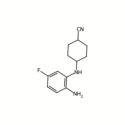 N#CC1CCC(Nc2cc(F)ccc2N)CC1